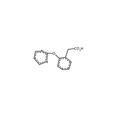 O=C(O)Cc1ccccc1Oc1ncccn1